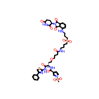 CS(=O)(=O)n1ccc(C(=O)N[C@@H](CCOCCCC(=O)NCCCCS(=O)(=O)CCCNc2cccc3c2C(=O)N(C2CCC(=O)NC2=O)C3=O)C(=O)Nc2nc(-c3ccccc3)cs2)c1